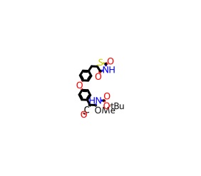 COC(NC(=O)OC(C)(C)C)C(=C=O)c1ccc(Oc2ccc(CC3SC(=O)NC3=O)cc2)cc1